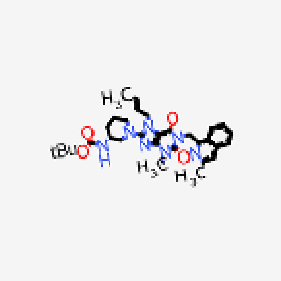 C/C=C/Cn1c(N2CCC[C@@H](NC(=O)OC(C)(C)C)C2)nc2c1c(=O)n(Cc1nc(C)cc3ccccc13)c(=O)n2C